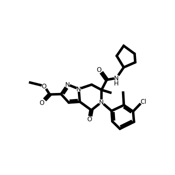 COC(=O)c1cc2n(n1)CC(C)(C(=O)NC1CCCC1)N(c1cccc(Cl)c1C)C2=O